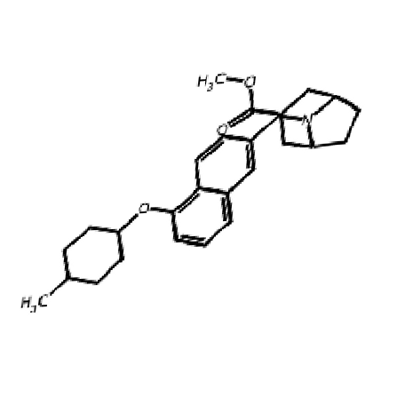 COC(=O)C1CC2CCC(C1)N2Cc1ccc2c(OC3CCC(C)CC3)cccc2c1